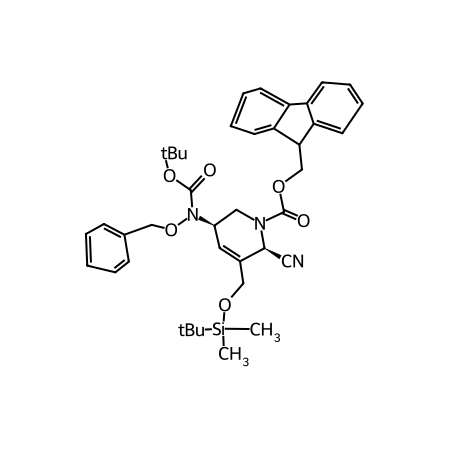 CC(C)(C)OC(=O)N(OCc1ccccc1)[C@@H]1C=C(CO[Si](C)(C)C(C)(C)C)[C@H](C#N)N(C(=O)OCC2c3ccccc3-c3ccccc32)C1